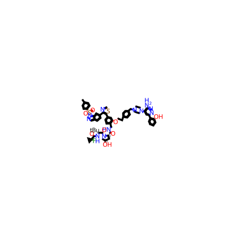 Cc1ccc(S(=O)(=O)n2ncc3ccc(-c4ncsc4-c4ccc(CNC(=O)[C@@H]5C[C@@H](O)CN5C(=O)C(NC(=O)C5(F)CC5)C(C)(C)C)c(OCCc5ccc(CN6CCN(c7cc(-c8ccccc8O)nnc7N)CC6)cc5)c4)cc32)cc1